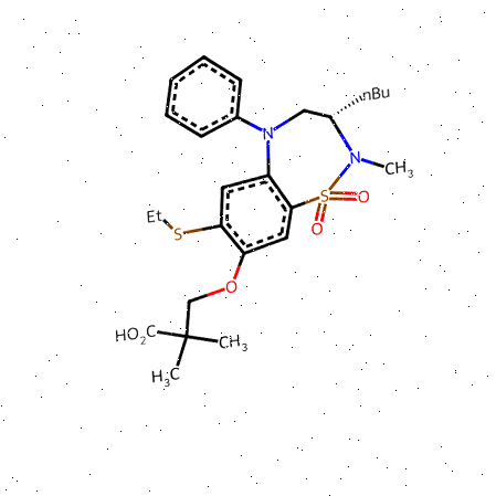 CCCC[C@H]1CN(c2ccccc2)c2cc(SCC)c(OCC(C)(C)C(=O)O)cc2S(=O)(=O)N1C